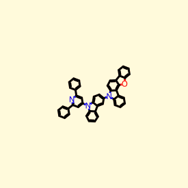 c1ccc(-c2cc(-n3c4ccccc4c4cc(-n5c6ccccc6c6c7oc8ccccc8c7ccc65)ccc43)cc(-c3ccccc3)n2)cc1